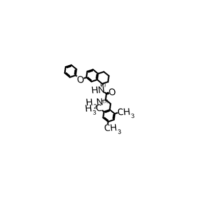 Cc1cc(C)c(C[C@H](N)C(=O)N[C@@H]2CCCc3ccc(Oc4ccccc4)cc32)c(C)c1